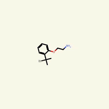 CCC(C)(C)c1ccccc1OCCN